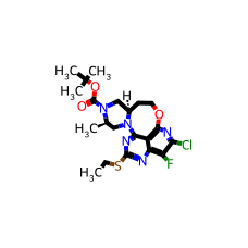 CCSc1nc2c3c(nc(Cl)c(F)c3n1)OCC[C@@H]1CN(C(=O)OC(C)(C)C)[C@H](C)CN21